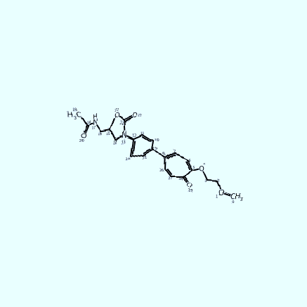 COCCOc1ccc(-c2ccc(N3CC(CNC(C)=O)OC3=O)cc2)ccc1=O